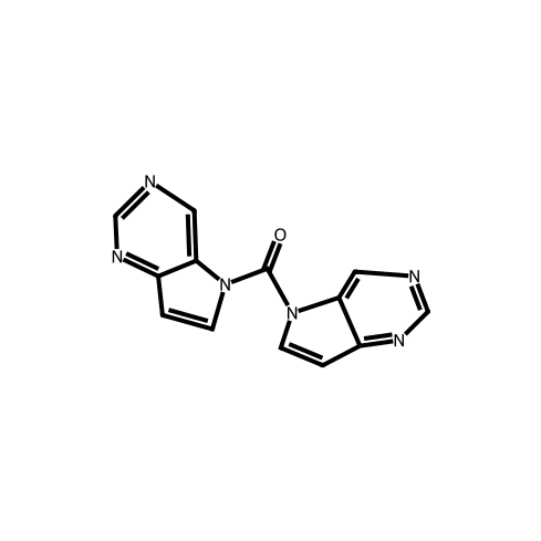 O=C(n1ccc2ncncc21)n1ccc2ncncc21